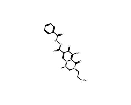 COCCN1CN(C)n2cc(C(=O)NNC(=O)c3ccccc3)c(=O)c(O)c2C1=O